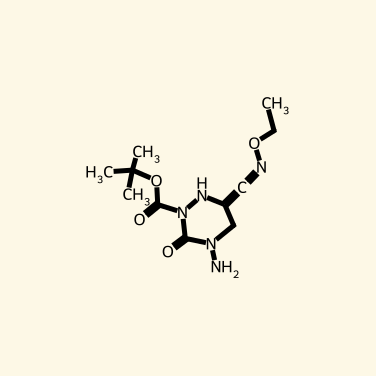 CCON=C=C1CN(N)C(=O)N(C(=O)OC(C)(C)C)N1